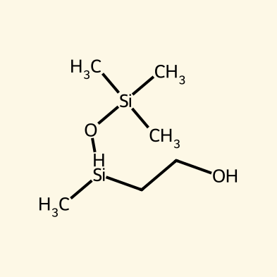 C[SiH](CCO)O[Si](C)(C)C